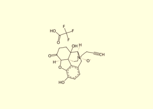 C#CC[N@@+]1([O-])CC[C@]23c4c5ccc(O)c4O[C@H]2C(=O)CCC3(O)[C@H]1C5.O=C(O)C(F)(F)F